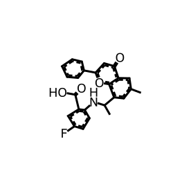 Cc1cc(C(C)Nc2ccc(F)cc2C(=O)O)c2oc(-c3ccccc3)cc(=O)c2c1